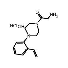 C=Cc1ccccc1N1CCN(C(=O)CN)CC1.Cl.Cl